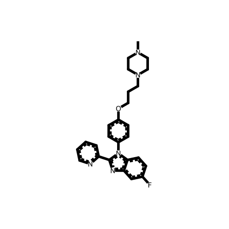 CN1CCN(CCCOc2ccc(-n3c(-c4ccccn4)nc4cc(F)ccc43)cc2)CC1